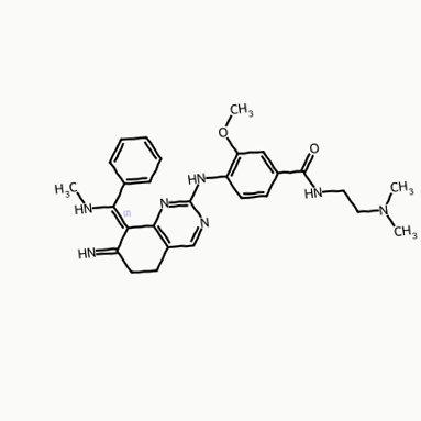 CN/C(=C1\C(=N)CCc2cnc(Nc3ccc(C(=O)NCCN(C)C)cc3OC)nc21)c1ccccc1